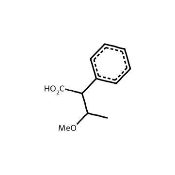 COC(C)C(C(=O)O)c1ccccc1